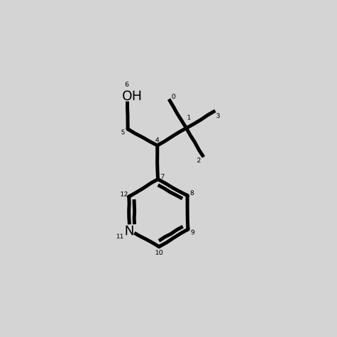 CC(C)(C)C(CO)c1cccnc1